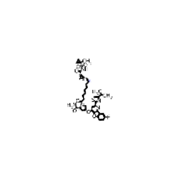 CC(C)c1csc(-c2cc(O[C@@H]3C[C@@H](C(N)=O)N(C(=O)CCCCCC/C=C\[C@@H]4C[C@@H]4C(=O)NS(=O)(=O)C4(C)CC4)C3)c3oc4ccc(F)cc4c3n2)n1